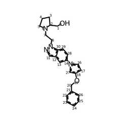 OCC1CCCN1CCn1ncc2cc(-n3ccc(OCc4ccccc4)c3)ccc21